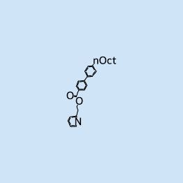 CCCCCCCCc1ccc(-c2ccc(C(=O)OCCc3ccccn3)cc2)cc1